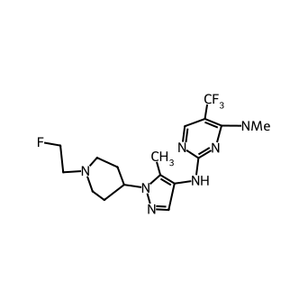 CNc1nc(Nc2cnn(C3CCN(CCF)CC3)c2C)ncc1C(F)(F)F